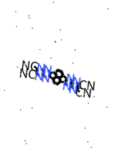 N#Cc1nc2nc3c(nc2nc1C#N)-c1ccc2c4c(ccc-3c14)-c1nc3nc(C#N)c(C#N)nc3nc1-2